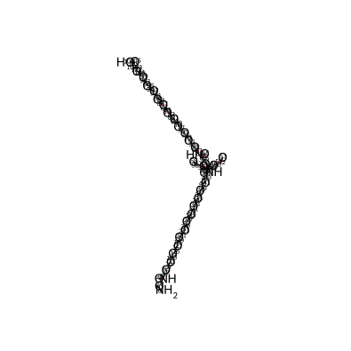 NOCC(=O)NCCOCCOCCOCCOCCOCCOCCOCCOCCOCCOCCOCCOCCC(=O)NC(COCCC=O)(COCCC=O)COCCC(=O)NCCOCCOCCOCCOCCOCCOCCOCCOCCOCCOCCOCCOCCC(=O)O